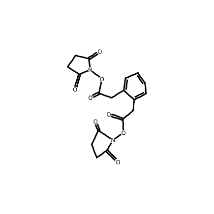 O=C(Cc1ccccc1CC(=O)ON1C(=O)CCC1=O)ON1C(=O)CCC1=O